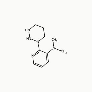 CN(C)c1cccnc1N1CCCNN1